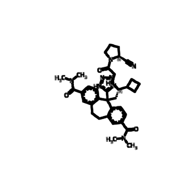 CN(C)C(=O)c1ccc2c(c1)CCc1cc(C(=O)N(C)C)ccc1C2(C[C@H](NCC(=O)N1CCC[C@H]1C#N)C1CCC1)c1nnn[nH]1